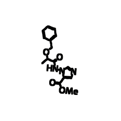 COC(=O)c1cncn1NC(=O)C(C)OCc1ccccc1